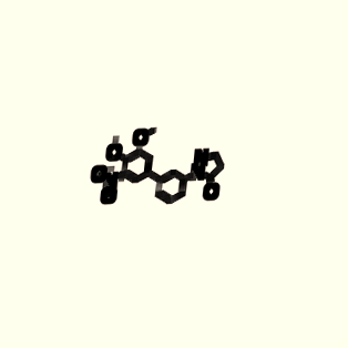 COc1cc(-c2cccc(N3N=CCC3=O)c2)cc([N+](=O)[O-])c1OC